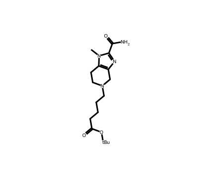 Cn1c(C(N)=O)nc2c1CCN(CCCCC(=O)OC(C)(C)C)C2